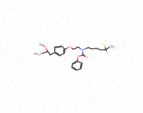 CCOC(Cc1ccc(OCCN(CCCCC(C)(F)F)C(=O)Oc2ccccc2)cc1)C(=O)O